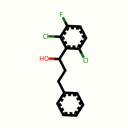 OC(CCc1ccccc1)c1c(Cl)ccc(F)c1Cl